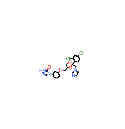 O=c1[nH]ncn1-c1cccc(OCC2COC(Cn3ccnc3)(c3ccc(Cl)cc3Cl)O2)c1